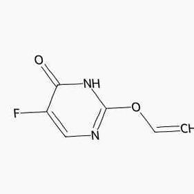 C=COc1ncc(F)c(=O)[nH]1